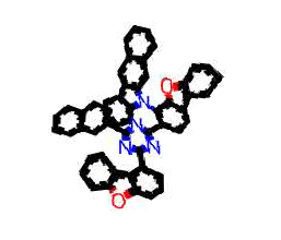 c1ccc2cc(-c3nc(-c4ccc5c(oc6ccccc65)c4-n4c5ccccc5c5cc6ccccc6cc54)nc(-c4cccc5oc6ccccc6c45)n3)ccc2c1